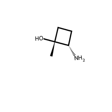 C[C@@]1(O)CC[C@@H]1N